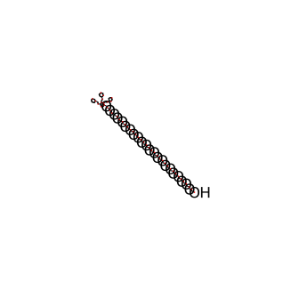 OCCOCCOCCOCCOCCOCCOCCOCCOCCOCCOCCOCCOCCOCCOCCOCCOCCOCCOCCOCCOCCOCCOc1ccc(C=Cc2ccccc2)c(C=Cc2ccccc2)c1C=Cc1ccccc1